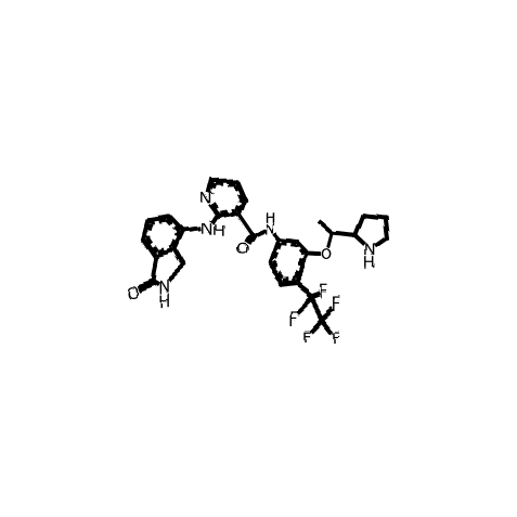 CC(Oc1cc(NC(=O)c2cccnc2Nc2cccc3c2CNC3=O)ccc1C(F)(F)C(F)(F)F)C1CCCN1